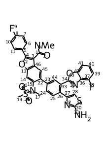 CNC(=O)c1c(-c2ccc(F)cc2)oc2cc(N(C)S(C)(=O)=O)c(-c3ccc(-c4csc(N)n4)c(-c4nc5c(F)cccc5o4)c3)cc12